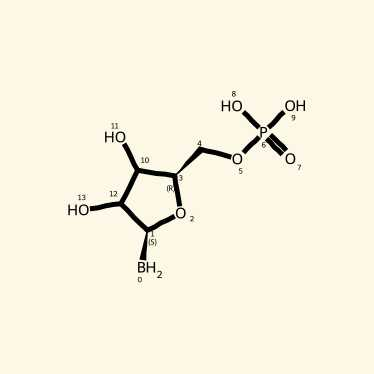 B[C@@H]1O[C@H](COP(=O)(O)O)C(O)C1O